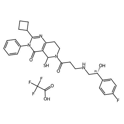 O=C(CCNC[C@H](O)c1ccc(F)cc1)N1CCc2nc(C3CCC3)n(-c3ccccc3)c(=O)c2C1S.O=C(O)C(F)(F)F